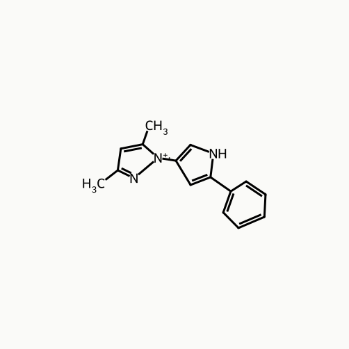 CC1=CC(C)=N[N+]1c1c[nH]c(-c2ccccc2)c1